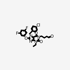 CCn1c(=O)n(CCCC=O)c(=O)c2c1nc(Oc1cc(F)cc(F)c1)n2Cc1ccc(Cl)cc1